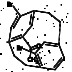 CC(=O)c1cc2c(Br)cc1CCc1ccc(cc1Br)CC2